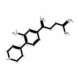 C=C(N)CCC(=C)c1ccc(C2=CCOCC2)c(C)c1